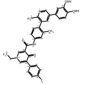 COc1ccc(-c2cnc(N)c(-c3ccc(NC(=O)c4cn(CC(F)(F)F)cc(-c5ccc(F)cc5)c4=O)cc3C)c2)cc1OC